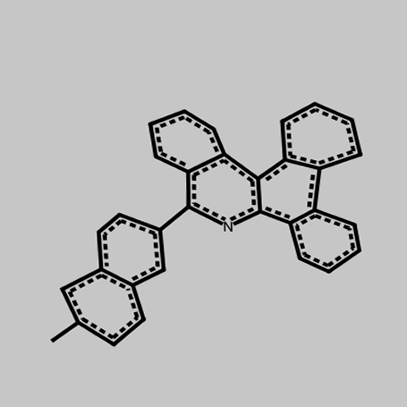 Cc1ccc2cc(-c3nc4c5ccccc5c5ccccc5c4c4ccccc34)ccc2c1